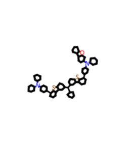 c1ccc(C(c2ccc3sc4c(-c5ccc(N(c6ccccc6)c6ccccc6)cc5)cccc4c3c2)c2ccc3sc4c(-c5ccc(N(c6ccccc6)c6ccc7c(c6)oc6ccccc67)cc5)cccc4c3c2)cc1